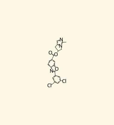 Cc1ncc2n1CC(OC(=O)c1ccc3nc(-c4cc(Cl)cc(Cl)c4)oc3c1)C2